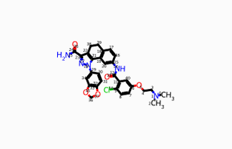 CN(C)CCOc1ccc(Cl)c(C(=O)Nc2ccc3c(c2)-c2c(c(C(N)=O)nn2-c2ccc4c(c2)OCO4)CC3)c1